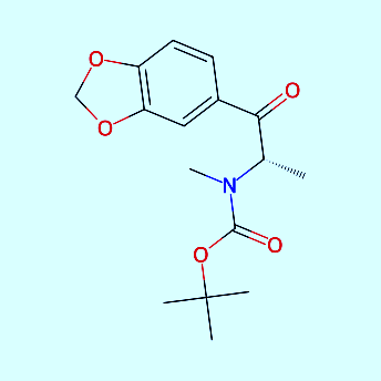 C[C@@H](C(=O)c1ccc2c(c1)OCO2)N(C)C(=O)OC(C)(C)C